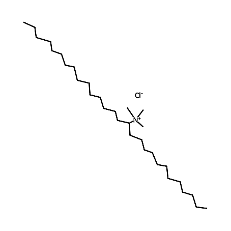 CCCCCCCCCCCCCCCC(CCCCCCCCCCCC)[N+](C)(C)C.[Cl-]